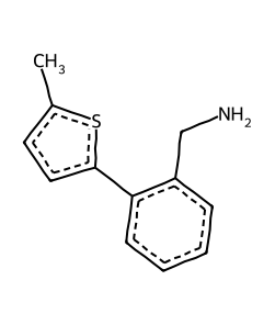 Cc1ccc(-c2ccccc2CN)s1